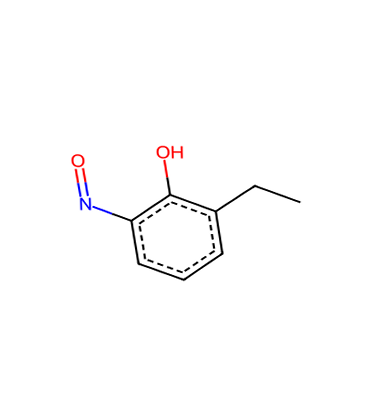 CCc1cccc(N=O)c1O